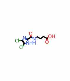 O=C(O)CCCNC(=O)c1nc(Cl)c(Cl)[nH]1